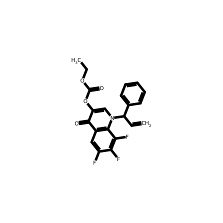 C=CC(c1ccccc1)n1cc(OC(=O)OCC)c(=O)c2cc(F)c(F)c(F)c21